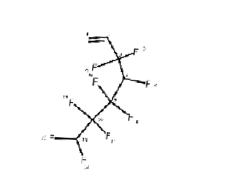 C=CC(F)(F)C(F)C(F)(F)C(F)(F)C(F)F